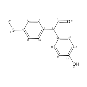 CSc1ccc(C(C=O)c2ccc(O)cc2)cc1